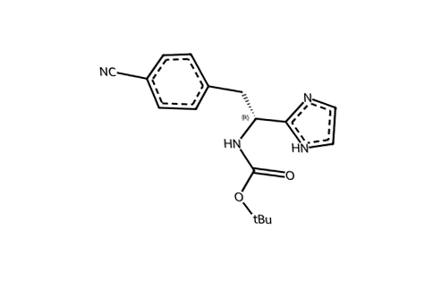 CC(C)(C)OC(=O)N[C@H](Cc1ccc(C#N)cc1)c1ncc[nH]1